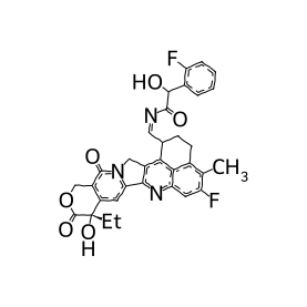 CC[C@@]1(O)C(=O)OCc2c1cc1n(c2=O)Cc2c-1nc1cc(F)c(C)c3c1c2C(/C=N\C(=O)C(O)c1ccccc1F)CC3